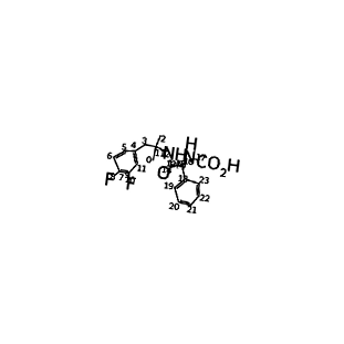 CC(C)(Cc1ccc(F)c(F)c1)NC(=O)[C@@H](NC(=O)O)c1ccccc1